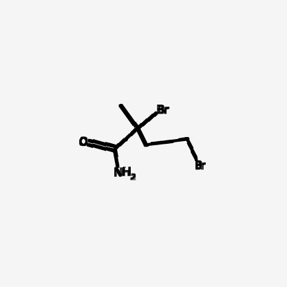 CC(Br)(CCBr)C(N)=O